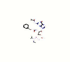 CC(C)C(=O)Nc1nc2c(ncn2[C@@H]2O[C@H](CO)[C@@H](OP(N)N(C(C)C)C(C)C)[C@H]2NC(=O)OCc2ccccc2)c(=O)[nH]1